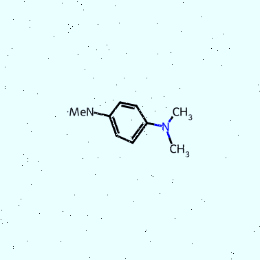 C[N]c1ccc(N(C)C)cc1